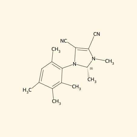 Cc1cc(C)c(N2C(C#N)=C(C#N)N(C)[C@@H]2C)c(C)c1C